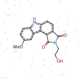 COc1ccc2[nH]c3ccc4c(c3c2c1)C(=O)N(CCO)C4=O